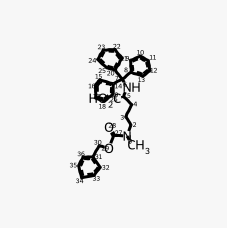 CN(CCC[C@H](NC(c1ccccc1)(c1ccccc1)c1ccccc1)C(=O)O)C(=O)OCc1ccccc1